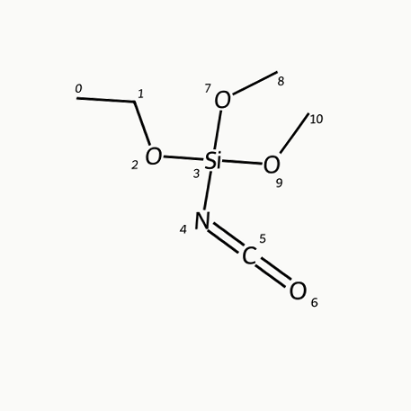 CCO[Si](N=C=O)(OC)OC